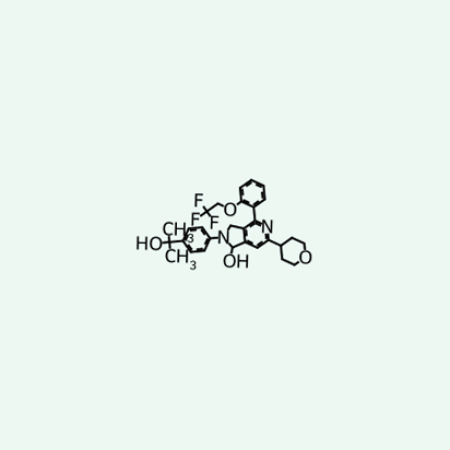 CC(C)(O)c1ccc(N2Cc3c(cc(C4CCOCC4)nc3-c3ccccc3OCC(F)(F)F)C2O)cc1